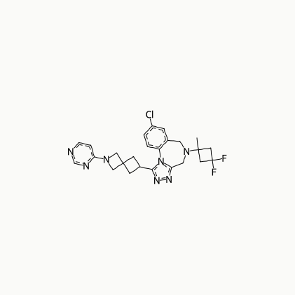 CC1(N2Cc3cc(Cl)ccc3-n3c(nnc3C3CC4(C3)CN(c3ccncn3)C4)C2)CC(F)(F)C1